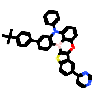 CC(C)(C)c1ccc(-c2ccc3c(c2)N(c2ccccc2)c2cccc4c2B3c2sc3ccc(-c5ccncn5)cc3c2O4)cc1